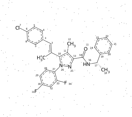 C/C(=C\c1ccc(Cl)cc1)c1c(C)c(C(=O)N[C@@H](C)c2ccccc2)nn1-c1ccc(F)cc1F